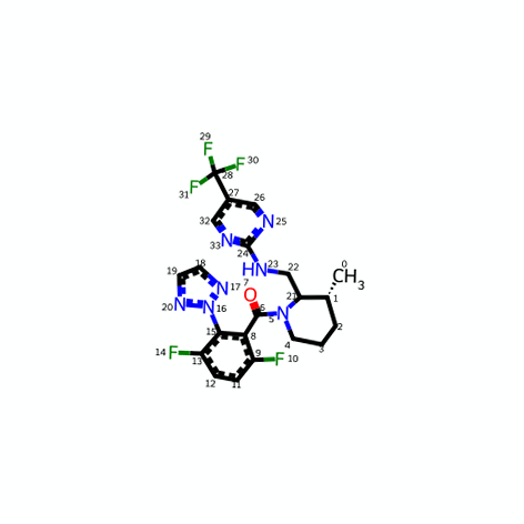 C[C@@H]1CCCN(C(=O)c2c(F)ccc(F)c2-n2nccn2)C1CNc1ncc(C(F)(F)F)cn1